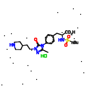 CCCCS(=O)(=O)NC(Cc1ccc(-n2c(C)nn(CCC3CCNCC3)c2=O)cc1)C(=O)O.Cl